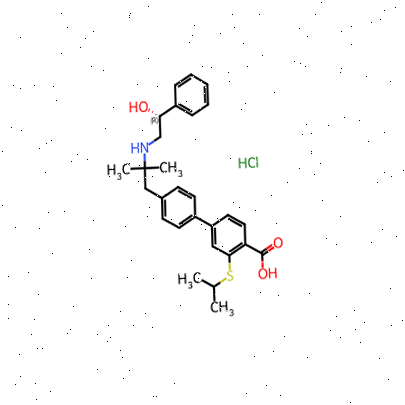 CC(C)Sc1cc(-c2ccc(CC(C)(C)NC[C@H](O)c3ccccc3)cc2)ccc1C(=O)O.Cl